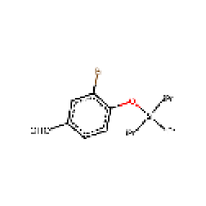 CC(C)[Si](Oc1ccc(C=O)cc1Br)(C(C)C)C(C)C